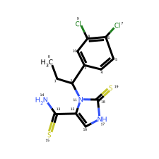 CCC(c1ccc(Cl)c(Cl)c1)n1c(C(N)=S)c[nH]c1=S